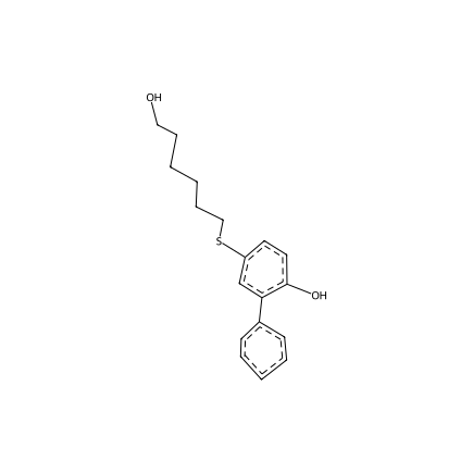 OCCCCCCSc1ccc(O)c(-c2ccccc2)c1